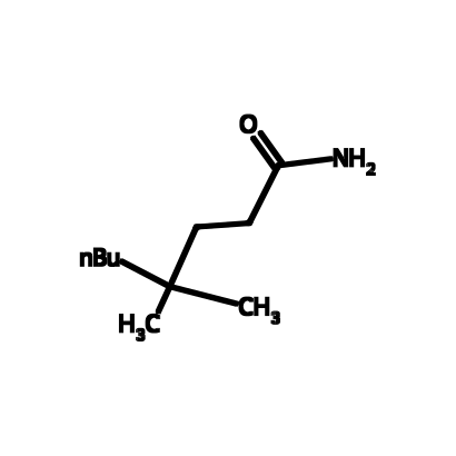 CCCCC(C)(C)CCC(N)=O